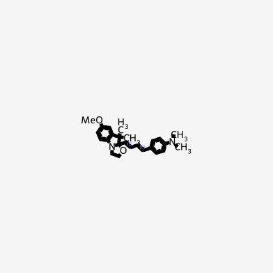 COc1ccc2c(c1)C(C)(C)C1(/C=C/C=C/c3ccc(N(C)C)cc3)OCCN21